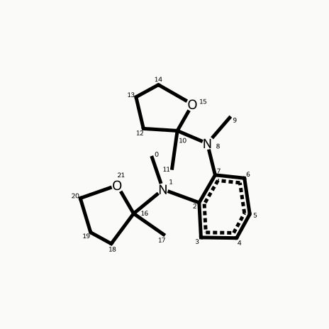 CN(c1ccccc1N(C)C1(C)CCCO1)C1(C)CCCO1